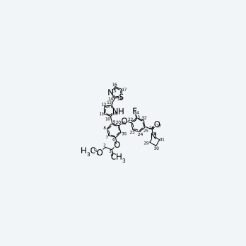 COC[C@H](C)Oc1ccc(-c2ccc(-c3nccs3)[nH]2)c(Oc2ccc(C(=O)N3CCC3)cc2F)c1